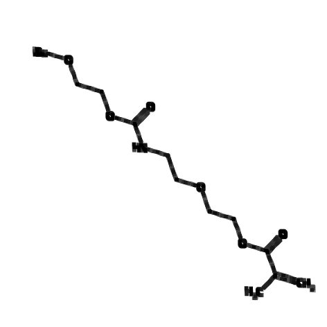 C=C(C)C(=O)OCCOCCNC(=O)OCCOC(C)CC